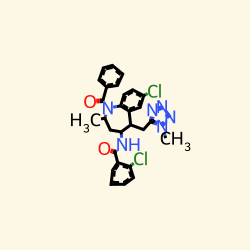 CC1CC(NC(=O)c2ccccc2Cl)C(Cc2nnnn2C)c2cc(Cl)ccc2N1C(=O)c1ccccc1